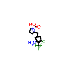 Nc1cc(CC2CCCN2C(=O)O)cc(F)c1C(F)(F)F